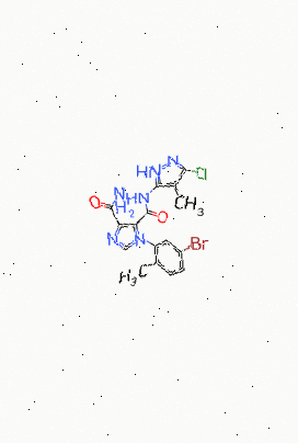 Cc1ccc(Br)cc1-n1cnc(C(N)=O)c1C(=O)Nc1[nH]nc(Cl)c1C